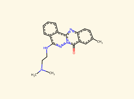 Cc1ccc2nc3c4ccccc4c(NCCN(C)C)nn3c(=O)c2c1